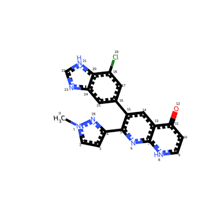 Cn1ccc(-c2nc3[nH]ccc(=O)c3cc2-c2cc(Cl)c3[nH]cnc3c2)n1